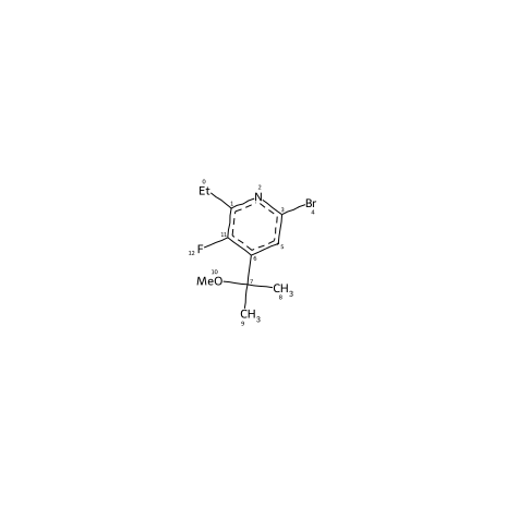 CCc1nc(Br)cc(C(C)(C)OC)c1F